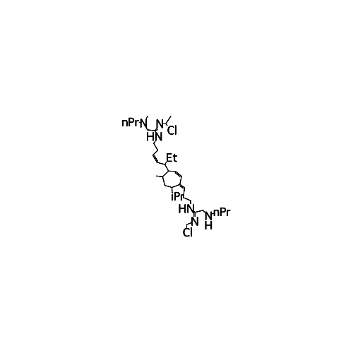 CCCNC/C(=N/CCl)NCC/C=C1/C=CC(C(/C=C\CCN/C(CN(C)CCC)=N\C(C)Cl)CC)C(C)CC1C(C)C